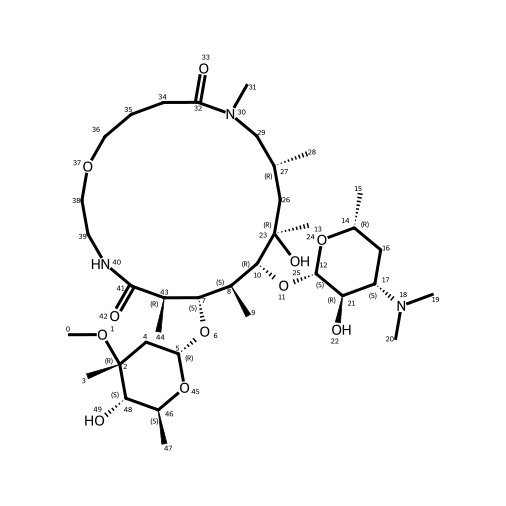 CO[C@]1(C)C[C@H](O[C@H]2[C@H](C)[C@@H](O[C@@H]3O[C@H](C)C[C@H](N(C)C)[C@H]3O)[C@](C)(O)C[C@@H](C)CN(C)C(=O)CCCOCCNC(=O)[C@@H]2C)O[C@@H](C)[C@@H]1O